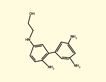 Nc1cc(N)cc(-c2cc(NCCO)ccc2N)c1